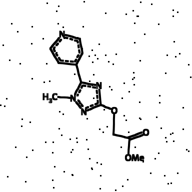 COC(=O)COc1nc(-c2ccncc2)n(C)n1